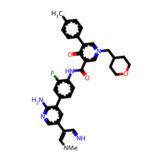 CN/C=C(\C=N)c1cnc(N)c(-c2ccc(NC(=O)c3cn(CC4CCOCC4)cc(-c4ccc(C)cc4)c3=O)c(F)c2)c1